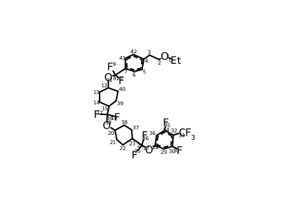 CCOCCc1ccc(C(F)(F)OC2CCC(C(F)(F)OC3CCC(C(F)(F)Oc4cc(F)c(C(F)(F)F)c(F)c4)CC3)CC2)cc1